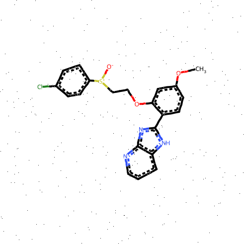 COc1ccc(-c2nc3ncccc3[nH]2)c(OCC[S+]([O-])c2ccc(Cl)cc2)c1